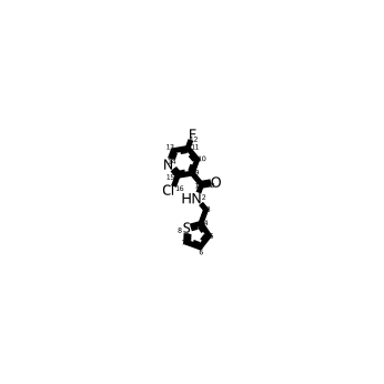 O=C(NCc1cccs1)c1cc(F)cnc1Cl